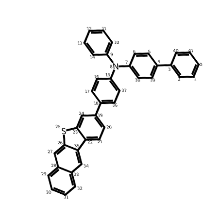 c1ccc(-c2ccc(N(c3ccccc3)c3ccc(-c4ccc5c(c4)sc4cc6ccccc6cc45)cc3)cc2)cc1